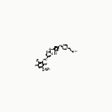 COc1cc(C)c(F)c(COc2cnc(Nc3cc(CN4CCN(CCO)CC4)n[nH]3)nc2)c1F